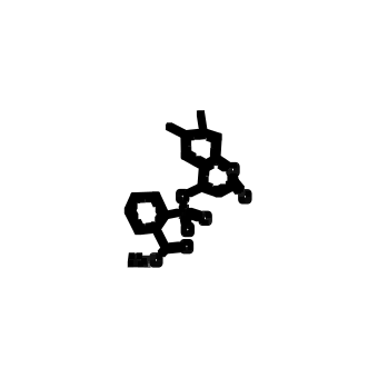 COC(=O)c1ccccc1S(=O)(=O)Oc1cc(=O)oc2cc(C)c(C)cc12